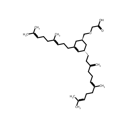 C=C(CC/C=C(\C)CCC=C(C)C)CC[C@@H]1C=C(CC/C=C(\C)CCC=C(C)C)C[C@@H](COCC(=O)O)C1